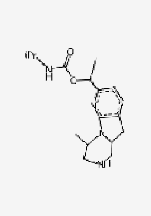 CC(C)NC(=O)OC(C)c1ccc2c(n1)N1C(C)CNCC1C2